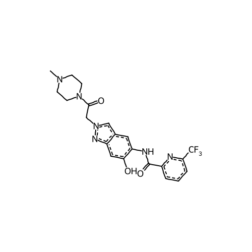 CN1CCN(C(=O)Cn2cc3cc(NC(=O)c4cccc(C(F)(F)F)n4)c(O)cc3n2)CC1